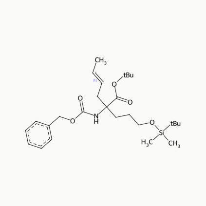 C/C=C/CC(CCCO[Si](C)(C)C(C)(C)C)(NC(=O)OCc1ccccc1)C(=O)OC(C)(C)C